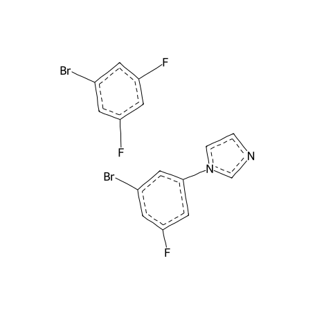 Fc1cc(Br)cc(-n2ccnc2)c1.Fc1cc(F)cc(Br)c1